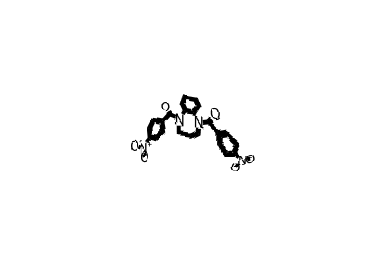 O=C(c1ccc([N+](=O)[O-])cc1)N1CCCN(C(=O)c2ccc([N+](=O)[O-])cc2)c2ccccc21